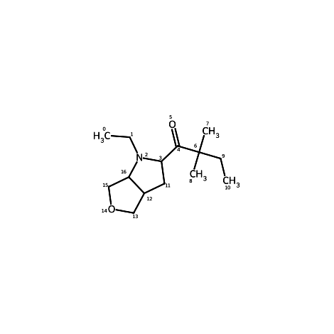 CCN1C(C(=O)C(C)(C)CC)CC2COCC21